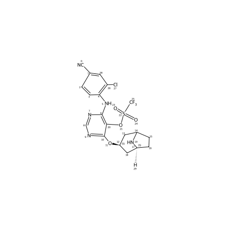 N#Cc1ccc(Nc2ncnc(O[C@H]3CC4CC[C@@H](C3)N4)c2OS(=O)(=O)C(F)(F)F)c(Cl)c1